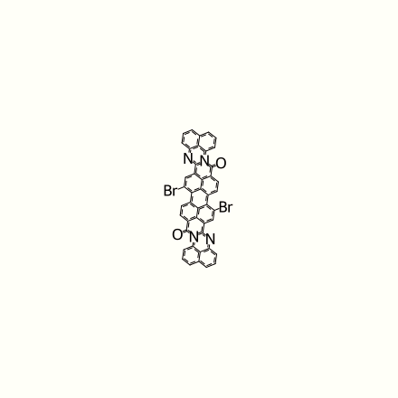 O=c1c2ccc3c4c(Br)cc5c6c(ccc(c7c(Br)cc(c2c37)c2nc3cccc7cccc(c73)n12)c46)c(=O)n1c2cccc3cccc(nc51)c32